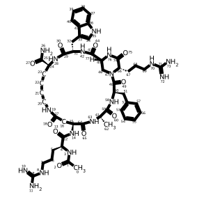 CC(=O)N[C@@H](CCCNC(=N)N)C(=O)N[C@H]1CC(=O)NCCCC[C@@H](C(N)=O)NC(=O)[C@H](Cc2c[nH]c3ccccc23)NC(=O)[C@H]2CN(C(=O)[C@@H](Cc3ccccc3)NC(=O)[C@H](C)NC1=O)[C@@H](CCCNC(=N)N)C(=O)N2